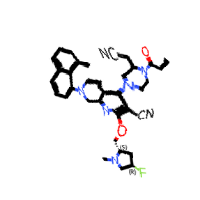 C=CC(=O)N1CCN(c2c(C#N)c(OC[C@@H]3C[C@@H](F)CN3C)nc3c2CCN(c2cccc4cccc(C)c24)C3)CC1CC#N